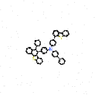 c1ccc(-c2ccc(N(c3ccc(-c4cccc5c4sc4ccccc45)cc3)c3ccc(-c4c(-c5ccccc5)c5ccccc5c5sc6ccccc6c45)cc3)cc2)cc1